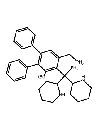 CC(C)(C)c1c(-c2ccccc2)c(-c2ccccc2)cc(CP)c1C(P)(C1CCCCN1)C1CCCCN1